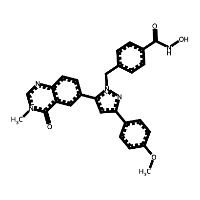 COc1ccc(-c2cc(-c3ccc4ncn(C)c(=O)c4c3)n(Cc3ccc(C(=O)NO)cc3)n2)cc1